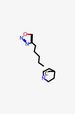 C1CN2CCC1CC2.CCCCCc1conn1